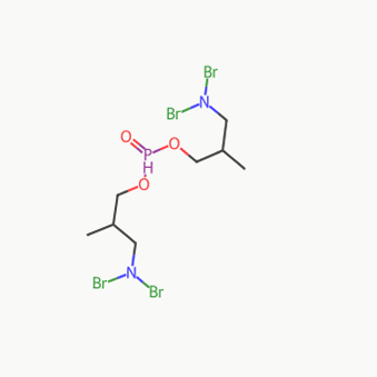 CC(CO[PH](=O)OCC(C)CN(Br)Br)CN(Br)Br